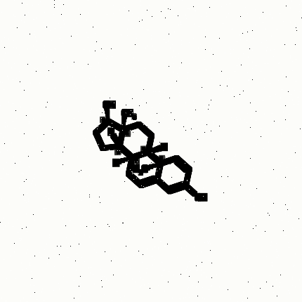 C[C@]12CC[C@H]3[C@@H](CC=C4C=C(O)C=C[C@@]43C)[C@@H]1CC[C@@H]2O